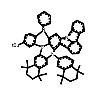 CC(C)(C)c1ccc2c(c1)B1c3cc4c(cc3N(c3ccc5c(c3)C(C)(C)CCC5(C)C)c3c1c(cc1c3c3cccc5c6ccccc6n1c53)N2c1ccccc1)C(C)(C)CCC4(C)C